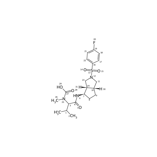 CC(C)C(C(=O)N[C@@H]1CC[C@H]2CN(S(=O)(=O)c3ccc(F)cc3)C[C@H]21)N(C)C(=O)O